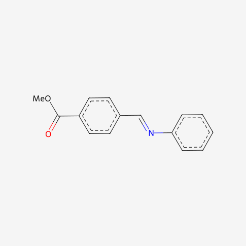 COC(=O)c1ccc(C=Nc2ccccc2)cc1